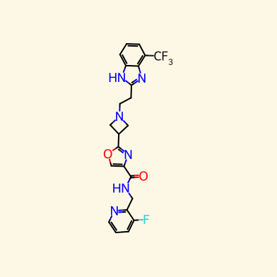 O=C(NCc1ncccc1F)c1coc(C2CN(CCc3nc4c(C(F)(F)F)cccc4[nH]3)C2)n1